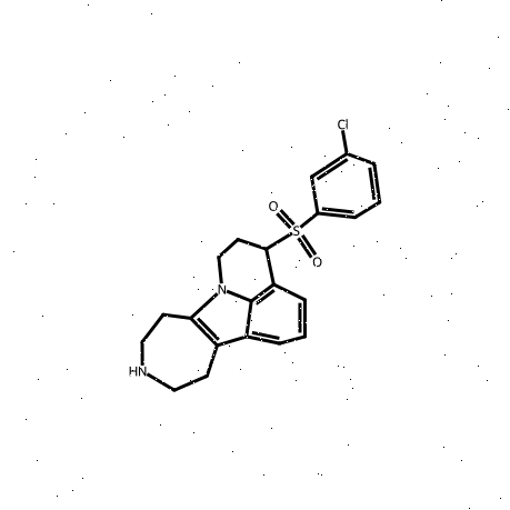 O=S(=O)(c1cccc(Cl)c1)C1CCn2c3c(c4cccc1c42)CCNCC3